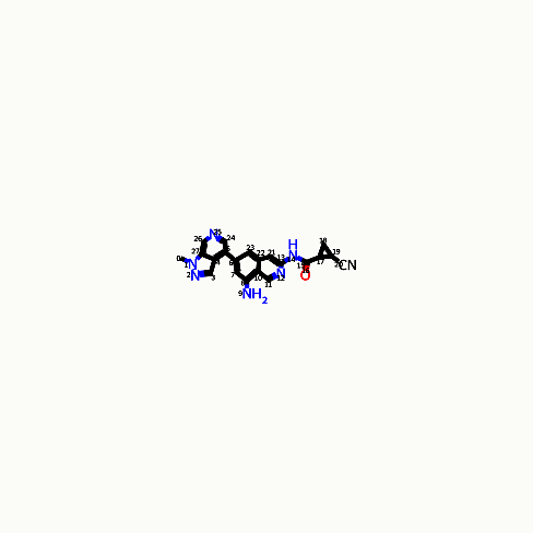 Cn1ncc2c(-c3cc(N)c4cnc(NC(=O)C5CC5C#N)cc4c3)cncc21